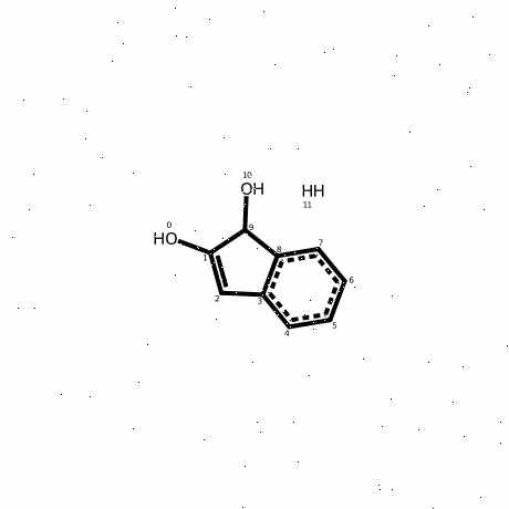 OC1=Cc2ccccc2C1O.[HH]